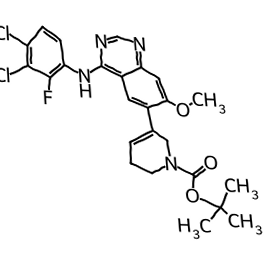 COc1cc2ncnc(Nc3ccc(Cl)c(Cl)c3F)c2cc1C1=CCCN(C(=O)OC(C)(C)C)C1